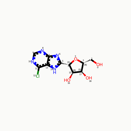 OC[C@H]1O[C@@H](c2nc3ncnc(Cl)c3[nH]2)[C@H](O)[C@@H]1O